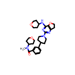 CN(C(=O)c1cccc(C2CCN(c3nc4c(c(NC5CCOCC5)n3)OCC4)CC2)c1)C1CCOCC1